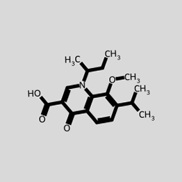 CCC(C)n1cc(C(=O)O)c(=O)c2ccc(C(C)C)c(OC)c21